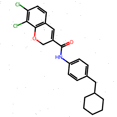 O=C(Nc1ccc([CH]C2CCCCC2)cc1)C1=Cc2ccc(Cl)c(Cl)c2OC1